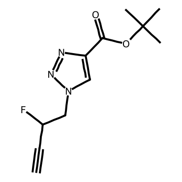 C#CC(F)Cn1cc(C(=O)OC(C)(C)C)nn1